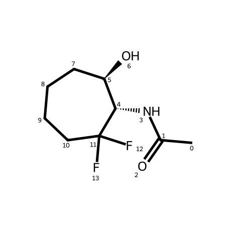 CC(=O)N[C@H]1[C@H](O)CCCCC1(F)F